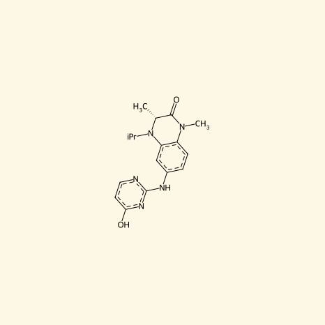 CC(C)N1c2cc(Nc3nccc(O)n3)ccc2N(C)C(=O)[C@H]1C